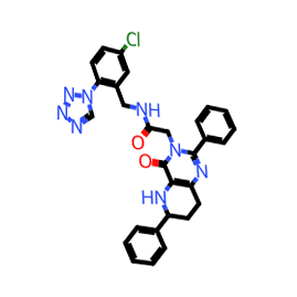 O=C(Cn1c(-c2ccccc2)nc2c(c1=O)NC(c1ccccc1)CC2)NCc1cc(Cl)ccc1-n1cnnn1